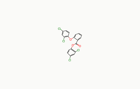 O=C(Oc1ccc(Cl)cc1Cl)c1ccccc1Oc1ccc(Cl)cc1Cl